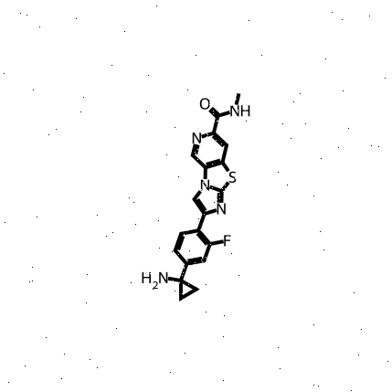 CNC(=O)c1cc2sc3nc(-c4ccc(C5(N)CC5)cc4F)cn3c2cn1